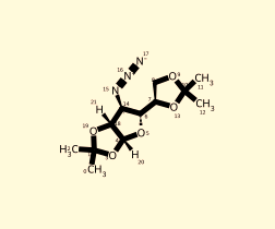 CC1(C)O[C@H]2O[C@@H]([C@H]3COC(C)(C)O3)[C@H](N=[N+]=[N-])[C@H]2O1